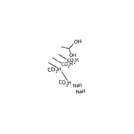 CC(=O)O.CC(=O)O.CC(=O)O.CC(=O)O.CC(O)O.[NaH].[NaH]